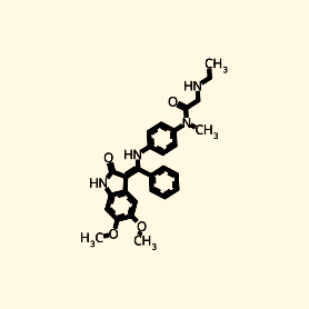 CCNCC(=O)N(C)c1ccc(N/C(=C2\C(=O)Nc3cc(OC)c(OC)cc32)c2ccccc2)cc1